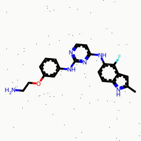 Cc1cc2c(F)c(Nc3ccnc(Nc4cccc(OCCN)c4)n3)ccc2[nH]1